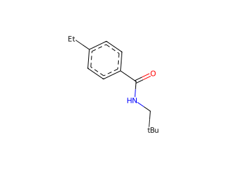 CCc1ccc(C(=O)NCC(C)(C)C)cc1